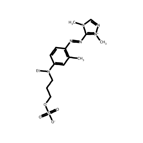 CCN(CCCOS(=O)(=O)[O-])c1ccc(N=Nc2n(C)cn[n+]2C)c(C)c1